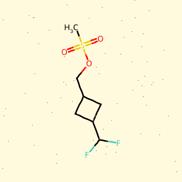 CS(=O)(=O)OCC1CC(C(F)F)C1